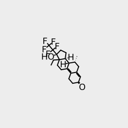 CCC12CCC3=C4CCC(=O)C=C4C[C@@H](C)[C@H]3[C@@H]1CC[C@@]2(O)C(F)(F)C(F)(F)F